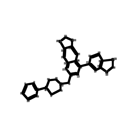 c1ccc(N2CCN(Cc3nc(-c4ccc5c(c4)OCO5)c4cc5c(cc4n3)OCO5)CC2)cc1